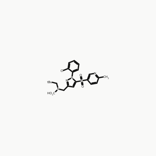 Cc1ccc(S(=O)(=O)c2cc(CN(CC(C)(C)C)C(=O)O)nn2-c2ccccc2Cl)cn1